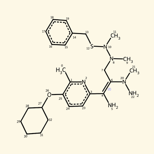 Cc1nc(/C(N)=C(\CN(C)N(C)SCc2ccccc2)N(C)N)ccc1OC1CCCCC1